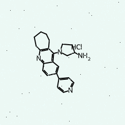 Cl.NC1CCN(c2c3c(nc4ccc(-c5ccncc5)cc24)CCCCC3)C1